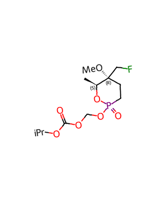 CO[C@]1(CF)CCP(=O)(OCOC(=O)OC(C)C)O[C@H]1C